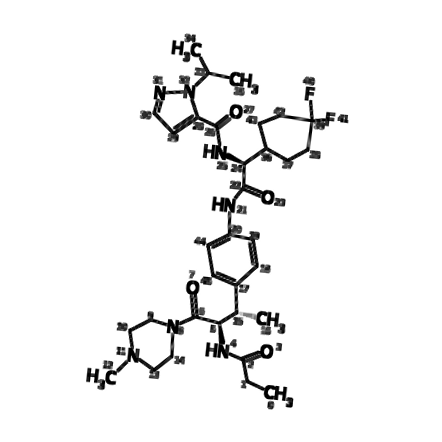 CCC(=O)N[C@@H](C(=O)N1CCN(C)CC1)[C@@H](C)c1ccc(NC(=O)[C@@H](NC(=O)c2ccnn2C(C)C)C2CCC(F)(F)CC2)cc1